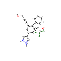 Cn1cc(-c2cc(C#CCO)c3c(c2)C(O)(C(F)(F)F)c2ccccc2-3)cn1